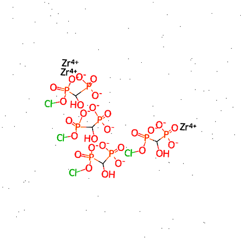 O=P([O-])([O-])C(O)P(=O)([O-])OCl.O=P([O-])([O-])C(O)P(=O)([O-])OCl.O=P([O-])([O-])C(O)P(=O)([O-])OCl.O=P([O-])([O-])C(O)P(=O)([O-])OCl.[Zr+4].[Zr+4].[Zr+4]